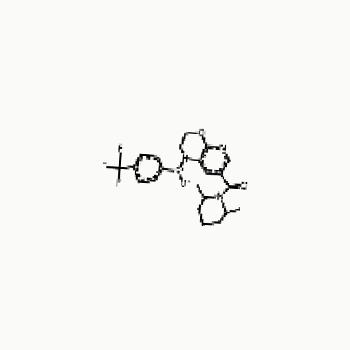 CC1CCCC(C)N1C(=O)c1cnc2c(c1)N([S+]([O-])c1ccc(C(F)(F)F)cc1)CCO2